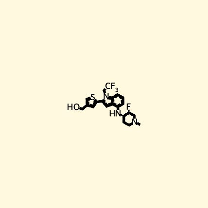 CN1CC[C@@H](Nc2cccc3c2cc(-c2cc(CO)cs2)n3CC(F)(F)F)[C@@H](F)C1